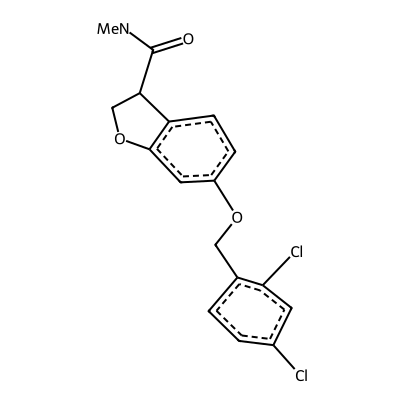 CNC(=O)C1COc2cc(OCc3ccc(Cl)cc3Cl)ccc21